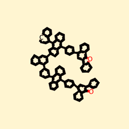 c1cc(-c2cc(-c3ccc4c(-c5ccc(-c6cc7c8ccccc8oc7c7ccccc67)cc5)c5ccccc5c(-c5cccc6ccccc56)c4c3)cc3ccccc23)cc(-c2c3ccccc3c(-c3ccc(-c4cc5c6ccccc6oc5c5ccccc45)cc3)c3ccccc23)c1